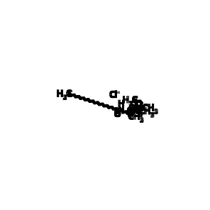 CCCCCCCCCCCCCCCCCCCCCC(=O)NCCC[N+](C)(C)CC(=O)OC1CC(C)CCC1C(C)C.[Cl-]